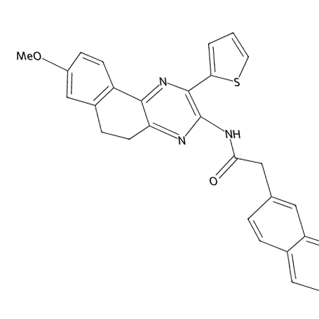 COc1ccc2c(c1)CCc1nc(NC(=O)Cc3ccc4ccccc4c3)c(-c3cccs3)nc1-2